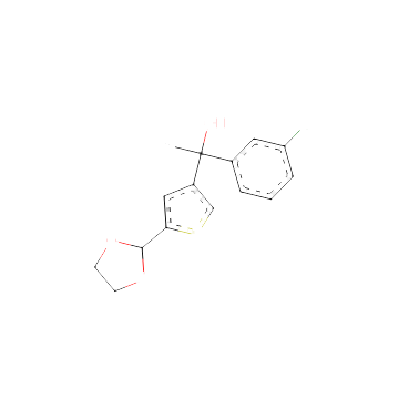 [CH2]CCC(O)(c1cccc(Cl)c1)c1csc(C2OCCO2)c1